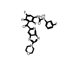 O=C(Nc1cccc(F)c1)Nc1cc(F)c(F)c(C(=O)c2cc3nc(N4CCOCC4)cnc3cn2)c1F